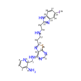 Nc1cccnc1CNc1ncnc2sc(CCNCCc3nc4cc(I)ccc4[nH]3)nc12